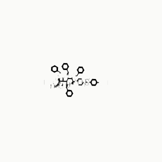 CC[C@](COCc1ccccc1)(C(=O)C(C)(C)C=O)[C@H](OCc1ccccc1)[C@H](OCc1ccccc1)[C@@H](OCc1ccccc1)C(=O)N1CCN(S(=O)(=O)c2ccc(C)cc2)CC1